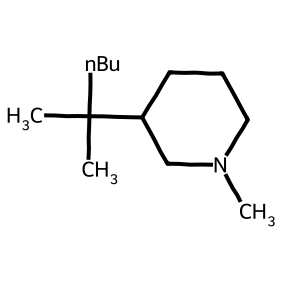 CCCCC(C)(C)C1CCCN(C)C1